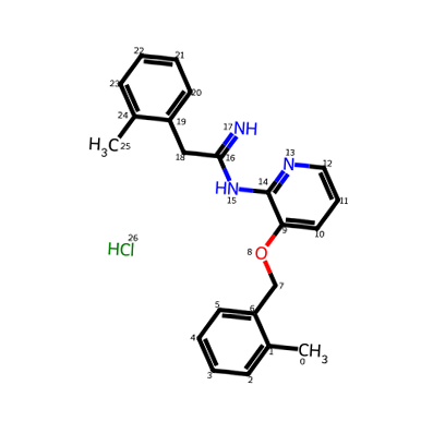 Cc1ccccc1COc1cccnc1NC(=N)Cc1ccccc1C.Cl